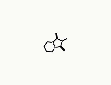 C=C1N(C)C(=C)N2CCCCN12